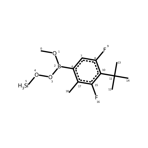 COB(OO[SiH3])c1cc(F)c(C(C)(C)C)c(F)c1C